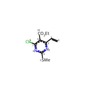 C=Cc1nc(SC)nc(Cl)c1C(=O)OCC